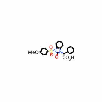 COc1ccc(S(=O)(=O)n2c(=O)n(C(C(=O)O)c3ccccc3)c3ccccc32)cc1